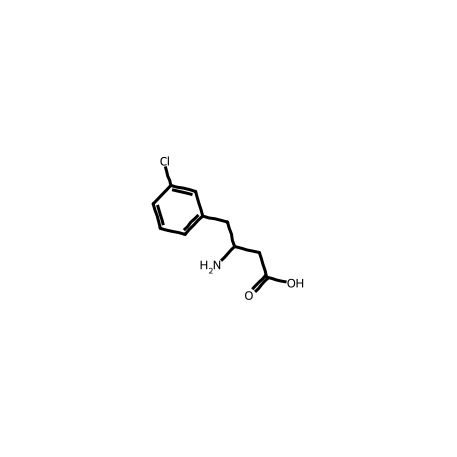 NC(CC(=O)O)Cc1cccc(Cl)c1